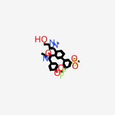 Cc1nc(-c2ccc3c(c2)OC(F)(F)O3)c(-c2cc(-c3cccc(S(C)(=O)=O)c3)ccc2-c2cc(CO)nn2C)o1